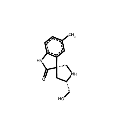 Cc1ccc2c(c1)[C@]1(CN[C@H](CO)C1)C(=O)N2